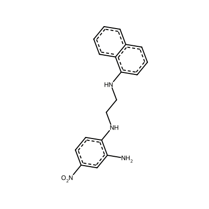 Nc1cc([N+](=O)[O-])ccc1NCCNc1cccc2ccccc12